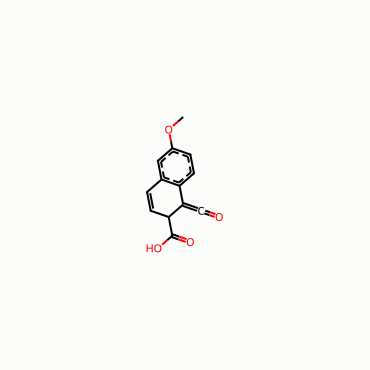 COc1ccc2c(c1)C=CC(C(=O)O)C2=C=O